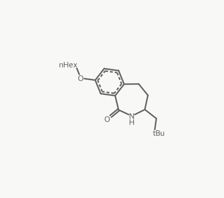 CCCCCCOc1ccc2c(c1)C(=O)NC(CC(C)(C)C)CC2